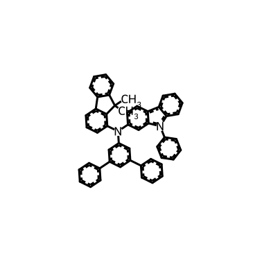 CC1(C)c2ccccc2-c2cccc(N(c3cc(-c4ccccc4)cc(-c4ccccc4)c3)c3ccc4c5ccccc5n(-c5ccccc5)c4c3)c21